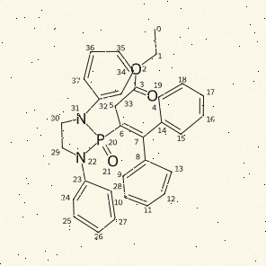 CCOC(=O)CC(=C(c1ccccc1)c1ccccc1)P1(=O)N(c2ccccc2)CCN1c1ccccc1